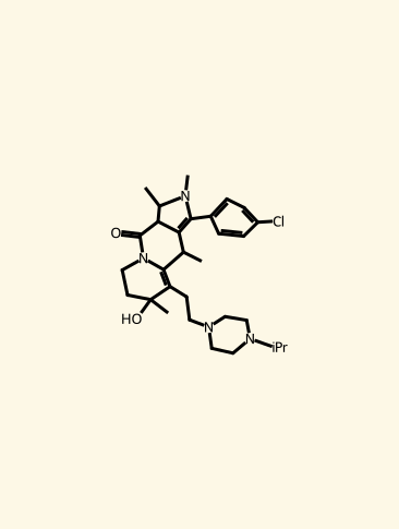 CC1C2=C(c3ccc(Cl)cc3)N(C)C(C)C2C(=O)N2CCC(C)(O)C(CCN3CCN(C(C)C)CC3)=C12